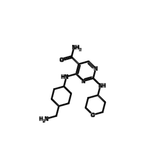 NCC1CCC(Nc2nc(NC3CCOCC3)ncc2C(N)=O)CC1